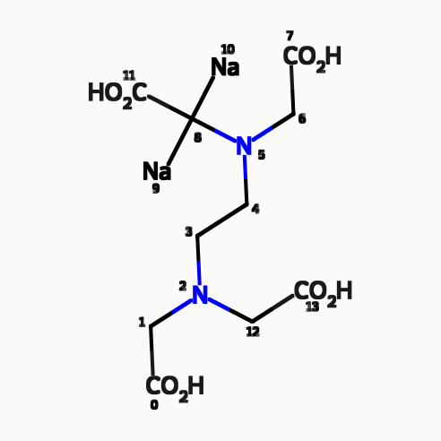 O=C(O)CN(CCN(CC(=O)O)[C]([Na])([Na])C(=O)O)CC(=O)O